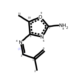 C=C(C)/C=N\c1nc(N)oc1C